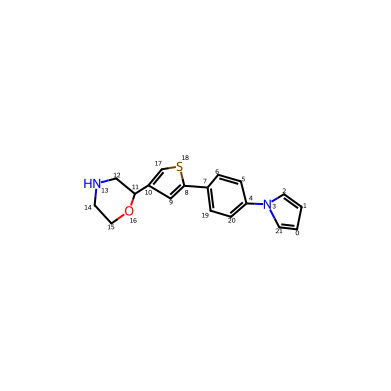 c1ccn(-c2ccc(-c3cc(C4CNCCO4)cs3)cc2)c1